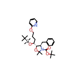 CC(C)(C)OC(=O)N1[C@H](Cc2ccccc2)[C@@H](C(CCCOc2ccccn2)O[Si](C)(C)C(C)(C)C)OC1(C)C